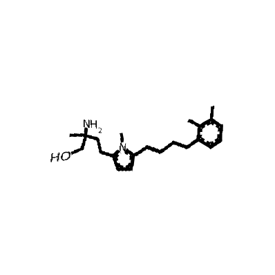 Cc1cccc(CCCCc2ccc(CCC(C)(N)CO)n2C)c1C